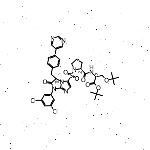 CC(C)(C)OC[C@H](NC(=O)[C@@H]1CCCN1S(=O)(=O)c1cnc2n1[C@](C)(Cc1ccc(-c3cncnc3)cc1)C(=O)N2c1cc(Cl)cc(Cl)c1)C(=O)OC(C)(C)C